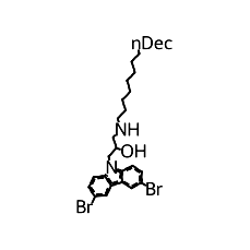 CCCCCCCCCCCCCCCCCCNCC(O)Cn1c2ccc(Br)cc2c2cc(Br)ccc21